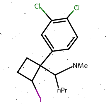 CCCC(NC)C1(c2ccc(Cl)c(Cl)c2)CCC1I